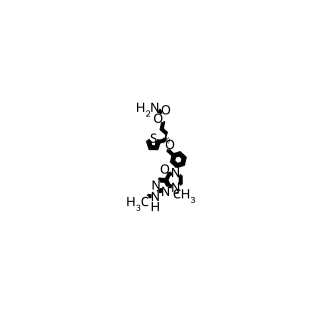 CCNc1ncc2c(n1)N(C)CCN(c1cccc(CO[C@H](CCCOC(N)=O)c3cccs3)c1)C2=O